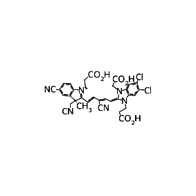 CC1(CC#N)C(/C=C/C(C#N)=C/C=C2/N(CCC(=O)O)c3cc(Cl)c(Cl)cc3N2CC(=O)O)=[N+](CCC(=O)O)c2ccc(C#N)cc21